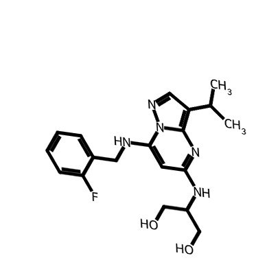 CC(C)c1cnn2c(NCc3ccccc3F)cc(NC(CO)CO)nc12